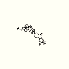 CS(=O)(=O)c1ncc2c(n1)CN(C1CCC(c3cc(F)c(F)cc3F)CC1)C2